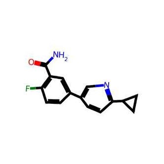 NC(=O)c1cc(-c2ccc(C3CC3)nc2)ccc1F